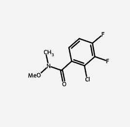 CON(C)C(=O)c1ccc(F)c(F)c1Cl